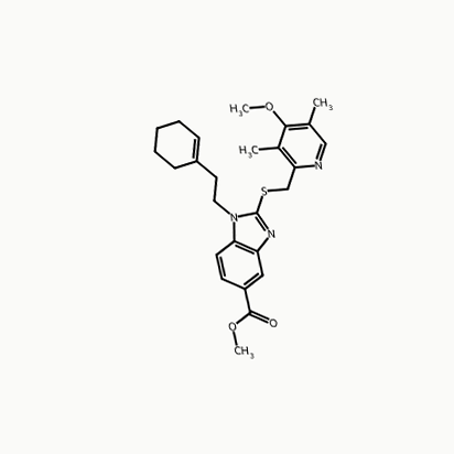 COC(=O)c1ccc2c(c1)nc(SCc1ncc(C)c(OC)c1C)n2CCC1=CCCCC1